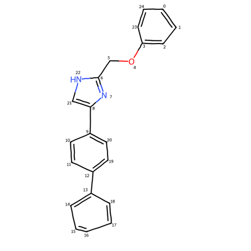 c1ccc(OCc2nc(-c3ccc(-c4ccccc4)cc3)c[nH]2)cc1